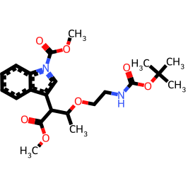 COC(=O)C(c1cn(C(=O)OC)c2ccccc12)C(C)OCCNC(=O)OC(C)(C)C